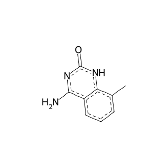 Cc1cccc2c(N)nc(=O)[nH]c12